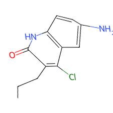 CCCc1c(Cl)c2cc(N)ccc2[nH]c1=O